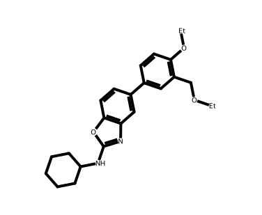 CCOCc1cc(-c2ccc3oc(NC4CCCCC4)nc3c2)ccc1OCC